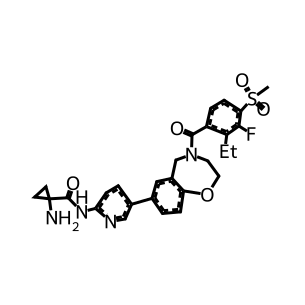 CCc1c(C(=O)N2CCOc3ccc(-c4ccc(NC(=O)C5(N)CC5)nc4)cc3C2)ccc(S(C)(=O)=O)c1F